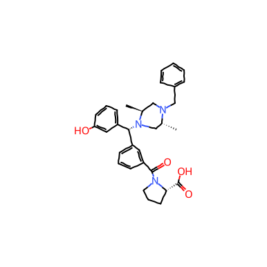 C[C@@H]1CN([C@@H](c2cccc(O)c2)c2cccc(C(=O)N3CCC[C@H]3C(=O)O)c2)[C@@H](C)CN1Cc1ccccc1